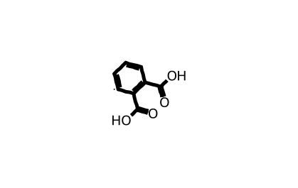 O=C(O)c1[c]cccc1C(=O)O